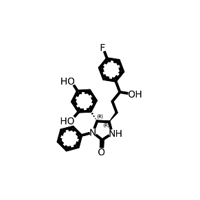 O=C1N[C@H](CCC(O)c2ccc(F)cc2)[C@@H](c2ccc(O)cc2O)N1c1ccccc1